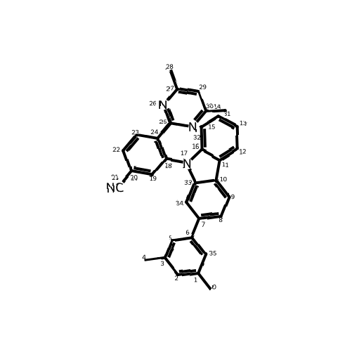 Cc1cc(C)cc(-c2ccc3c4ccccc4n(-c4cc(C#N)ccc4-c4nc(C)cc(C)n4)c3c2)c1